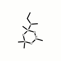 CCN(C)[Si]1(C)O[SiH](C)O[Si](C)(C)O1